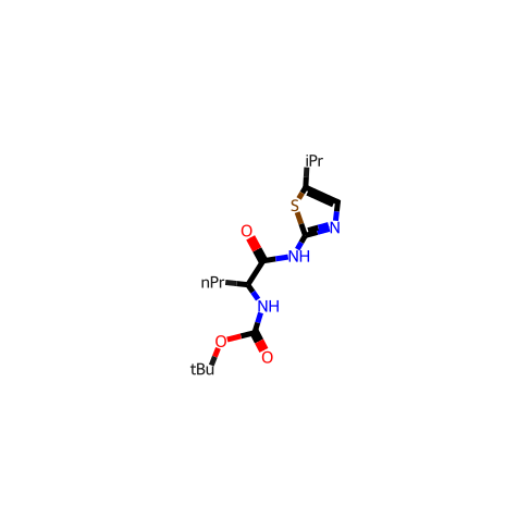 CCCC(NC(=O)OC(C)(C)C)C(=O)Nc1ncc(C(C)C)s1